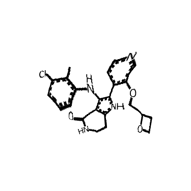 Cc1c(Cl)cccc1Nc1c(-c2ccncc2OCC2CCO2)[nH]c2c1C(=O)NCC2